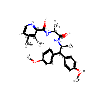 CCOc1ccc(C(c2ccc(OCC)cc2)[C@H](C)NC(=O)[C@H](C)NC(=O)c2nccc(OC)c2OC(C)=O)cc1